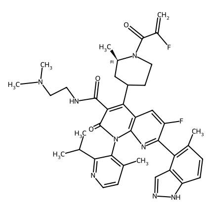 C=C(F)C(=O)N1CCC(c2c(C(=O)NCCN(C)C)c(=O)n(-c3c(C)ccnc3C(C)C)c3nc(-c4c(C)ccc5[nH]ncc45)c(F)cc23)C[C@H]1C